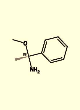 CO[C@](C)(N)c1ccccc1